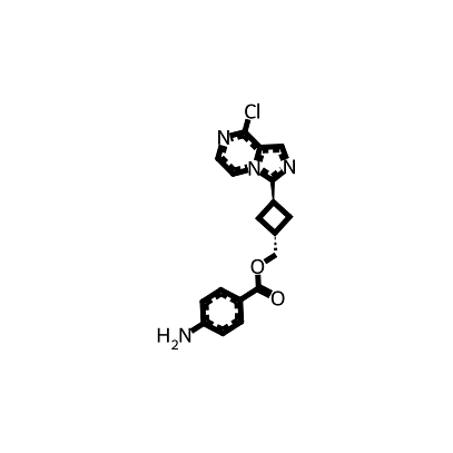 Nc1ccc(C(=O)OC[C@H]2C[C@H](c3ncc4c(Cl)nccn43)C2)cc1